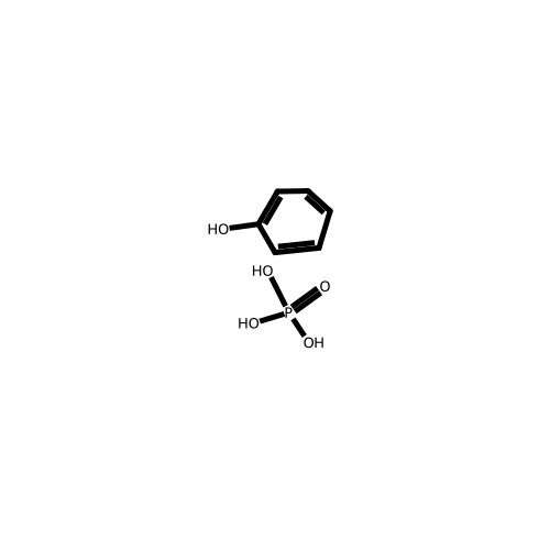 O=P(O)(O)O.Oc1ccccc1